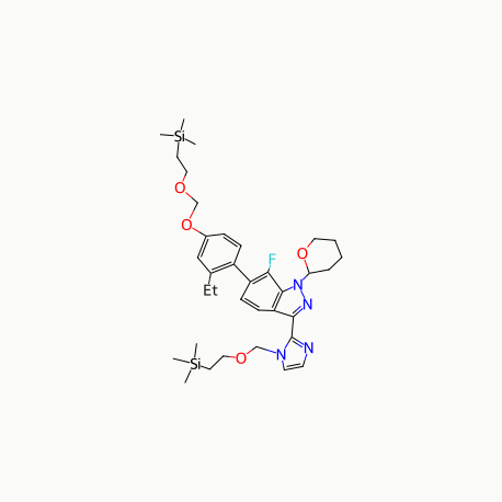 CCc1cc(OCOCC[Si](C)(C)C)ccc1-c1ccc2c(-c3nccn3COCC[Si](C)(C)C)nn(C3CCCCO3)c2c1F